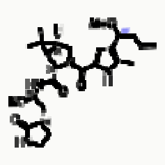 C=C/C=C(/OC)c1cc(C(=O)N2C[C@H]3C([C@H]2C(=O)N[C@H](C#N)C[C@@H]2CCNC2=O)C3(C)C)[nH]c1C